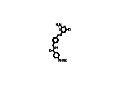 CC(=O)NC1CCC(C(=O)NCc2ccc(COc3cc(Cl)nc(N)n3)cc2)CC1